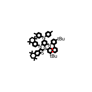 Cc1ccc(N(c2ccc(C)cc2)c2cc3c4c(c2)N(c2ccc5c(c2)C(C)(C)CCC5(C)C)c2c(sc5cc6c(cc25)C(C)(C)CCC6(C)C)B4c2cc(C(C)(C)C)ccc2N3c2ccc(C(C)(C)C)cc2-c2ccccc2)cc1